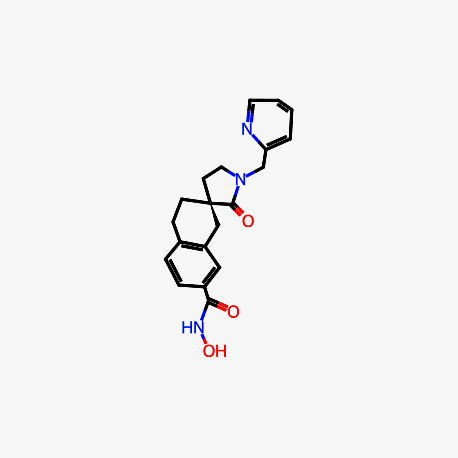 O=C(NO)c1ccc2c(c1)C[C@@]1(CC2)CCN(Cc2ccccn2)C1=O